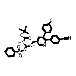 CC(C)(C)OC(=O)N/C(=N\S(=O)(=O)c1ccccc1)NCc1cnc(-c2ccc(C#N)cc2)c(-c2ccc(Cl)cc2)c1